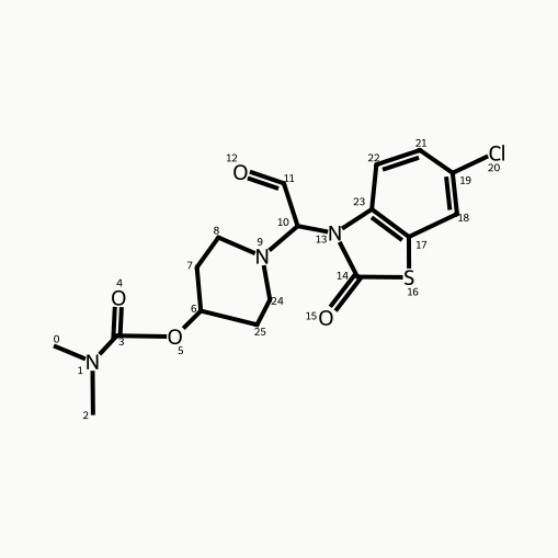 CN(C)C(=O)OC1CCN(C(C=O)n2c(=O)sc3cc(Cl)ccc32)CC1